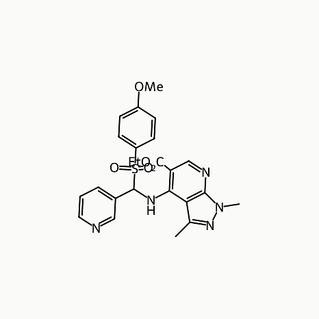 CCOC(=O)c1cnc2c(c(C)nn2C)c1NC(c1cccnc1)S(=O)(=O)c1ccc(OC)cc1